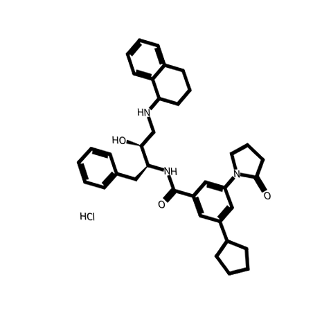 Cl.O=C(N[C@@H](Cc1ccccc1)[C@@H](O)CNC1CCCc2ccccc21)c1cc(C2CCCC2)cc(N2CCCC2=O)c1